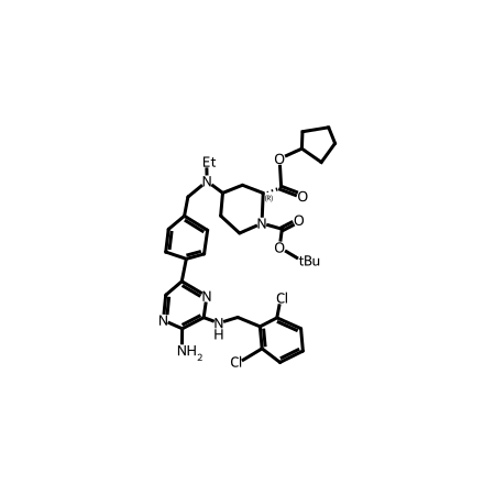 CCN(Cc1ccc(-c2cnc(N)c(NCc3c(Cl)cccc3Cl)n2)cc1)C1CCN(C(=O)OC(C)(C)C)[C@@H](C(=O)OC2CCCC2)C1